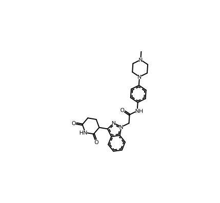 CN1CCN(c2ccc(NC(=O)Cn3nc(C4CCC(=O)NC4=O)c4ccccc43)cc2)CC1